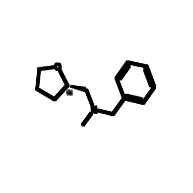 CN(Cc1ccccc1)C[C@@H]1CCCO1